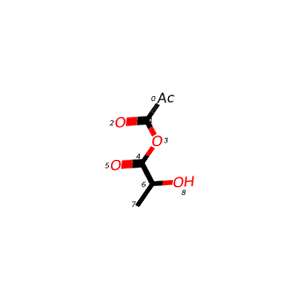 CC(=O)C(=O)OC(=O)C(C)O